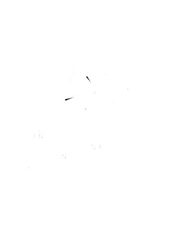 C[C@]1(F)[C@@H](c2c[nH]c(=O)nc2N)O[C@@H](CO)[C@@]1(C)O